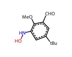 COc1c(C=O)cc(C(C)(C)C)cc1NO